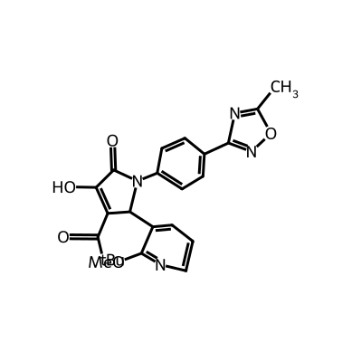 COc1ncccc1C1C(C(=O)C(C)(C)C)=C(O)C(=O)N1c1ccc(-c2noc(C)n2)cc1